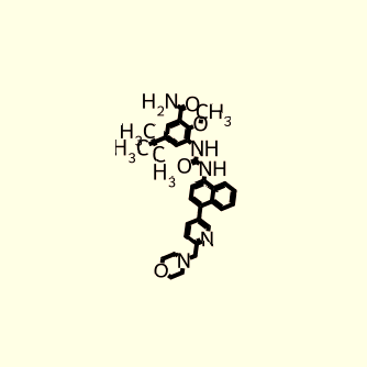 COc1c(NC(=O)Nc2ccc(-c3ccc(CN4CCOCC4)nc3)c3ccccc23)cc(C(C)(C)C)cc1C(N)=O